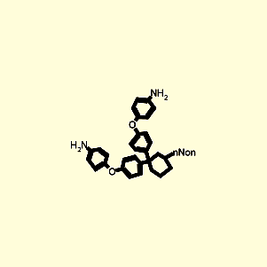 CCCCCCCCCC1CCCC(c2ccc(Oc3ccc(N)cc3)cc2)(c2ccc(Oc3ccc(N)cc3)cc2)C1